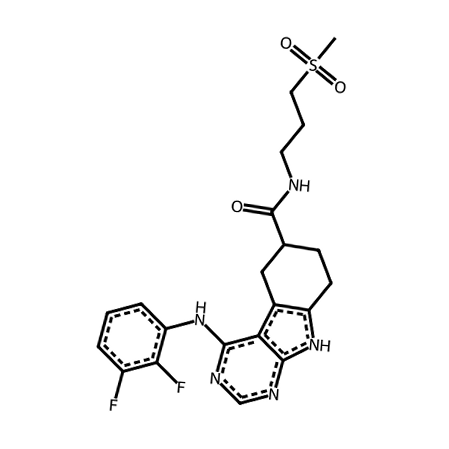 CS(=O)(=O)CCCNC(=O)C1CCc2[nH]c3ncnc(Nc4cccc(F)c4F)c3c2C1